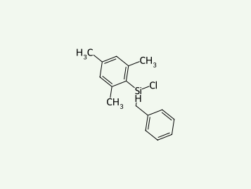 Cc1cc(C)c([SiH](Cl)Cc2ccccc2)c(C)c1